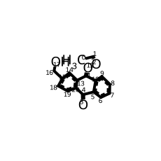 CC=O.O=C1c2ccccc2C(=O)c2cc(CO)ccc21